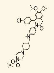 COc1cc2c(cc1OC(C)C)[C@H](c1ccc(Cl)cc1)N(c1ccc(N(C)CC3CCC(N4CCN(C(=O)OC(C)(C)C)CC4)CC3)cc1)C(=O)C2